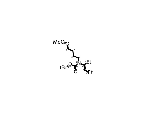 CC/C=C(\CC)N(CCCCOOC)C(=O)OC(C)(C)C